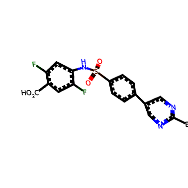 CCc1ncc(-c2ccc(S(=O)(=O)Nc3cc(F)c(C(=O)O)cc3F)cc2)cn1